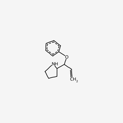 C=CC(Oc1ccccc1)C1CCCN1